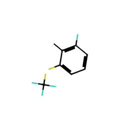 [CH2]c1c(F)cccc1SC(F)(F)F